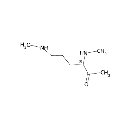 CNCCC[C@H](NC)C(C)=O